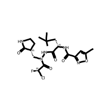 Cc1cc(C(=O)N[C@@H](CC(C)(C)C)C(=O)NN(C[C@H]2CCNC2=O)C(=O)[C@H](F)Cl)no1